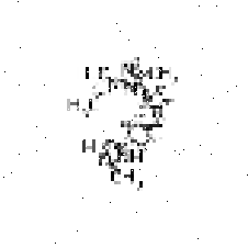 CCCN(C)c1ncc(C)c(N2CC[C@@H](Oc3ccc([C@H](C)NC(C)=O)cc3)C2)n1